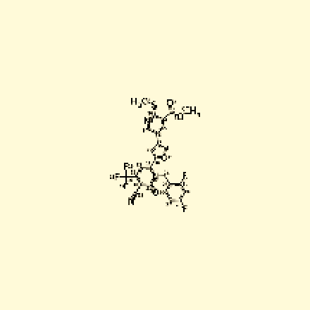 COC(=O)c1cc(-c2coc(-c3cc(C(F)(F)F)c(C#N)c(=O)n3Cc3ccc(F)cc3F)c2)cnc1SC